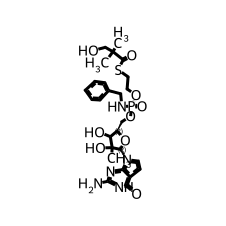 CC(C)(CO)C(=O)SCCOP(=O)(NCc1ccccc1)OC[C@H]1O[C@@H](n2ccc3c(=O)[nH]c(N)nc32)C(C)(O)C1O